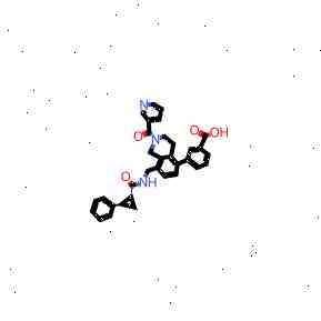 O=C(O)c1cccc(-c2ccc(CNC(=O)[C@@H]3C[C@H]3c3ccccc3)c3c2CCN(C(=O)c2cccnc2)C3)c1